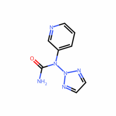 NC(=O)N(c1cccnc1)n1nccn1